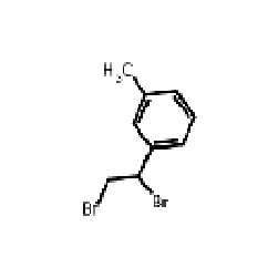 Cc1cccc(C(Br)CBr)c1